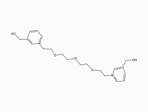 OCc1ccc[n+](CCOCCOCCOCC[n+]2cccc(CO)c2)c1